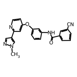 Cn1cc(-c2cc(Oc3cccc(NC(=O)c4cccc(C#N)c4)c3)ccn2)cn1